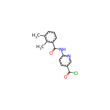 Cc1cccc(C(=O)Nc2ccc(C(=O)Cl)cn2)c1C